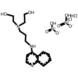 Cl.Cl.O=[N+]([O-])O.O=[N+]([O-])O.OCCN(CCO)CCCNc1ccnc2ccccc12